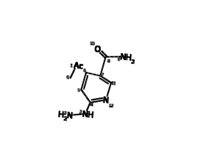 CC(C)=O.NNc1ccc(C(N)=O)cn1